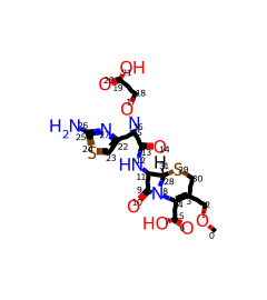 COCC1=C(C(=O)O)N2C(=O)C(NC(=O)/C(=N/OCC(=O)O)c3csc(N)n3)[C@H]2SC1